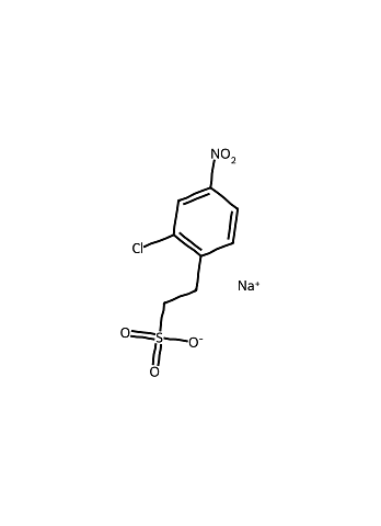 O=[N+]([O-])c1ccc(CCS(=O)(=O)[O-])c(Cl)c1.[Na+]